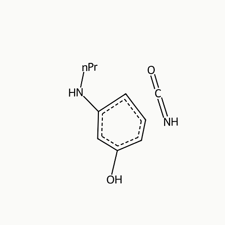 CCCNc1cccc(O)c1.N=C=O